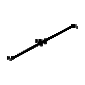 CCCCCCCCCCCCCCCCCCCCCCCCCCCCOC(=O)CC[C@H](N)C(=O)OCCCCCCCCCCCCCCCCCCCCCCCCCCCC